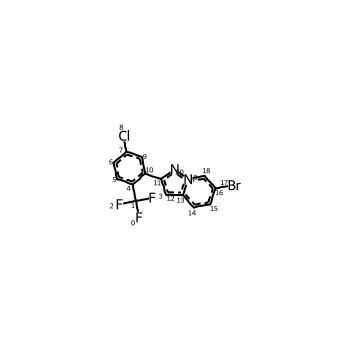 FC(F)(F)c1ccc(Cl)cc1-c1cc2ccc(Br)cn2n1